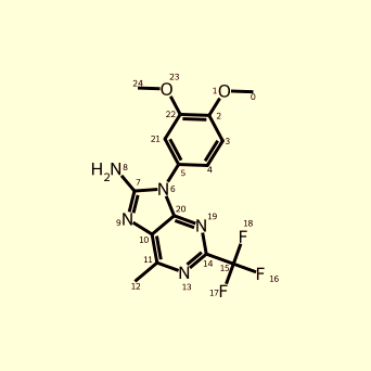 COc1ccc(-n2c(N)nc3c(C)nc(C(F)(F)F)nc32)cc1OC